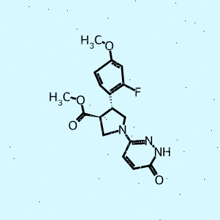 COC(=O)[C@@H]1CN(c2ccc(=O)[nH]n2)C[C@H]1c1ccc(OC)cc1F